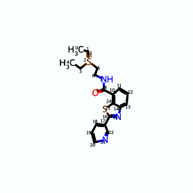 CC[SH](CC)CCNC(=O)c1cccc2nc(-c3cccnc3)sc12